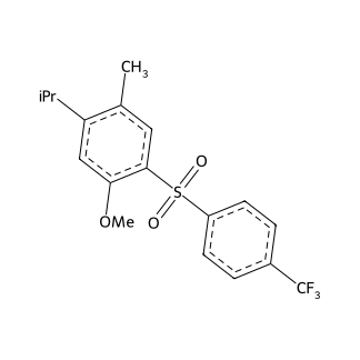 COc1cc(C(C)C)c(C)cc1S(=O)(=O)c1ccc(C(F)(F)F)cc1